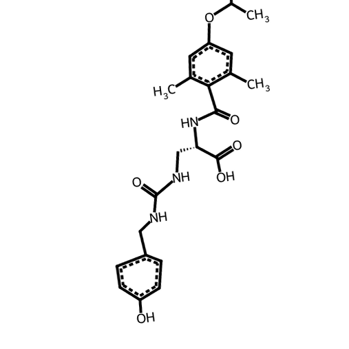 Cc1cc(OC(C)C)cc(C)c1C(=O)N[C@@H](CNC(=O)NCc1ccc(O)cc1)C(=O)O